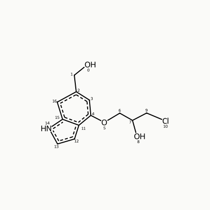 OCc1cc(OCC(O)CCl)c2cc[nH]c2c1